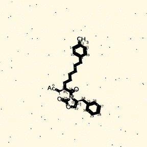 CC(=O)C[C@@H](CCCCCCc1ccc(C)cc1)C(=O)N1C(=O)OC[C@@H]1Cc1ccccc1